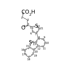 O=C(O)CCC(=O)c1cc(-c2cccc3c2sc2ccccc23)cs1